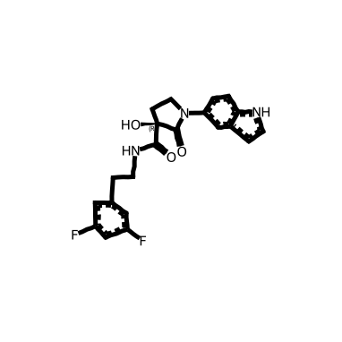 O=C(NCCc1cc(F)cc(F)c1)[C@]1(O)CCN(c2ccc3[nH]ccc3c2)C1=O